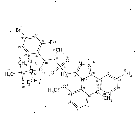 COc1cccc(OC)c1-n1c(NS(=O)(=O)[C@@H](C)C(O[Si](C)(C)C(C)(C)C)c2ccc(Br)cc2F)nnc1-c1cncc(C)c1